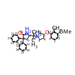 COc1cccc(O[C@H]2CCN(C(C)(C)CCC(C(N)=O)(c3ccccc3)c3ccccc3)C2)c1C